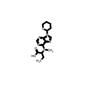 CCC(C(=O)O)N(C)c1ncnc2c1ncn2C1CCCCO1